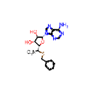 Nc1ncnc2c1ncn2[C@@H]1O[C@H](C(SCc2ccccc2)[N+](=O)[O-])[C@@H](O)[C@H]1O